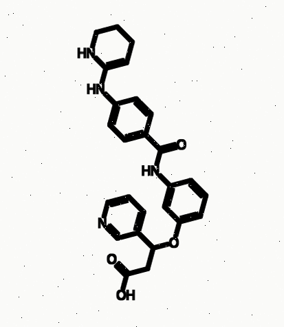 O=C(O)CC(Oc1cccc(NC(=O)c2ccc(NC3=CCCCN3)cc2)c1)c1cccnc1